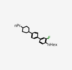 CCCCCCc1ccc(-c2ccc(C3CCC(CCC)CC3)cc2)cc1F